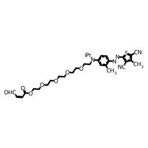 Cc1cc(N(CCOCCOCCOCCOCCOC(=O)/C=C\C=O)C(C)C)ccc1/N=N/c1sc(C#N)c(C)c1C#N